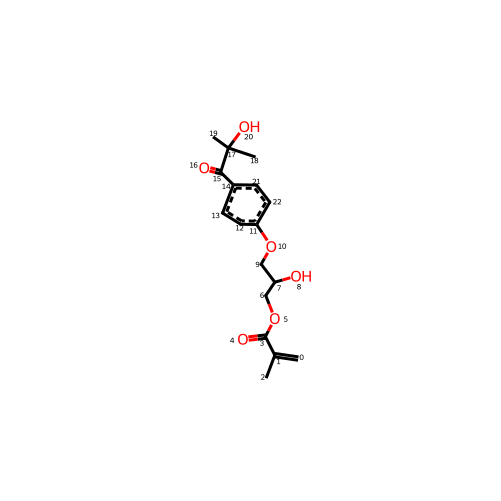 C=C(C)C(=O)OCC(O)COc1ccc(C(=O)C(C)(C)O)cc1